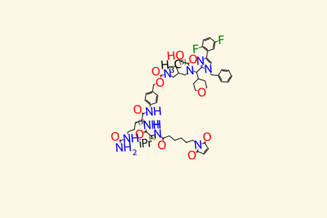 CC(C)[C@H](NC(=O)CCCCCN1C(=O)C=CC1=O)C(=O)N[C@@H](CCCNC(N)=O)C(=O)Nc1ccc(COC(=O)N2CCC(CN(C(=O)[C@H](C)O)C(c3nc(-c4cc(F)ccc4F)cn3Cc3ccccc3)C3CCOCC3)C2)cc1